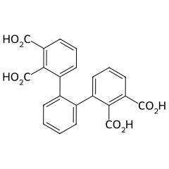 O=C(O)c1cccc(-c2ccccc2-c2cccc(C(=O)O)c2C(=O)O)c1C(=O)O